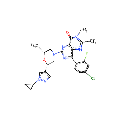 C[C@@H]1CN(c2nc(-c3ccc(Cl)cc3F)c3nc(C(F)(F)F)n(C)c(=O)c3n2)C[C@H](c2cnn(C3CC3)c2)O1